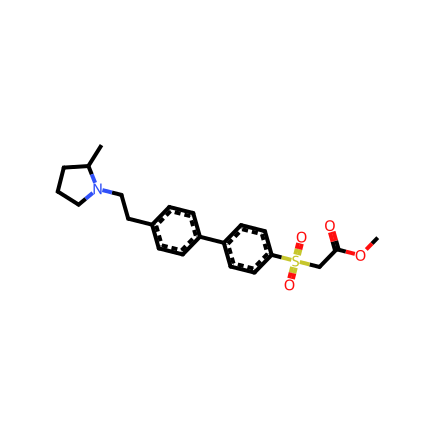 COC(=O)CS(=O)(=O)c1ccc(-c2ccc(CCN3CCCC3C)cc2)cc1